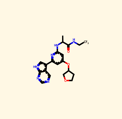 CC(Nc1cc(OC2CCOC2)cc(-c2c[nH]c3ncncc23)n1)C(=O)NCC(F)(F)F